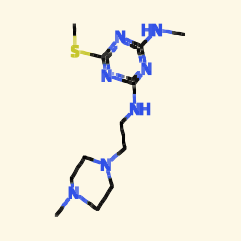 CNc1nc(NCCN2CCN(C)CC2)nc(SC)n1